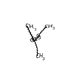 CCCCCCCCCCCCCCC(CSCCC(=O)OCCCCCCCCCCCC)C(=O)OCCCCCCCCCCCC